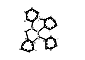 O=[N+]([O-])c1ccccc1B1N(c2ccccc2)Cc2ccccc2N1c1ccccc1